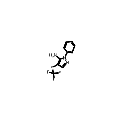 Nc1c(SC(F)(F)F)cnn1-c1ccccc1